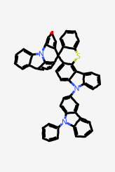 c1ccc(-n2c3ccccc3c3cc(-n4c5ccccc5c5c6c(ccc54)C4(c5ccccc5S6)c5ccccc5-n5c6ccccc6c6cccc4c65)ccc32)cc1